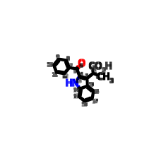 CC(C(=O)O)c1c(C(=O)c2ccccc2)[nH]c2ccccc12